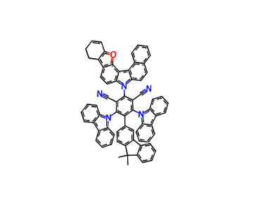 CC1(C)c2ccccc2-c2cc(-c3c(-n4c5ccccc5c5ccccc54)c(C#N)c(-n4c5ccc6ccccc6c5c5c6oc7c(c6ccc54)CCC=C7)c(C#N)c3-n3c4ccccc4c4ccccc43)ccc21